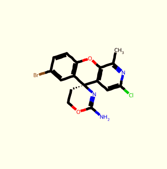 Cc1nc(Cl)cc2c1Oc1ccc(Br)cc1[C@@]21CCOC(N)=N1